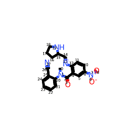 CN(C(=O)c1cc([N+](=O)[O-])ccc1/N=C/C1CCCN1)c1ccccc1C#N